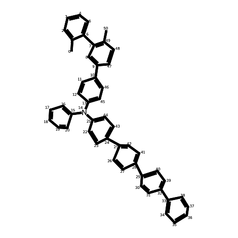 Cc1ccccc1-c1cc(-c2ccc(N(c3ccccc3)c3ccc(-c4ccc(-c5ccc(-c6ccccc6)cc5)cc4)cc3)cc2)ccc1C